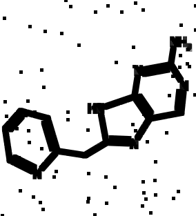 Nc1ncc2nc(Cc3ccccn3)[nH]c2n1